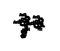 CC(=O)Oc1ccc2c3c1O[C@H]1[C@@H](OC(C)=O)C=C[C@H]4[C@@H](C2)N(C)CC[C@@]341.CC(=O)Oc1ccc2c3c1O[C@H]1[C@@H](OC(C)=O)C=C[C@H]4[C@@H](C2)N(C)CC[C@@]341.CP(=O)(O)Oc1ccco1